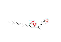 CCCCCCCCCC(C=O)CC(=O)CC(C)CCCC(C)(C)OC